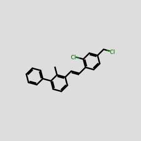 Cc1c(/C=C/c2ccc(CCl)cc2Cl)cccc1-c1ccccc1